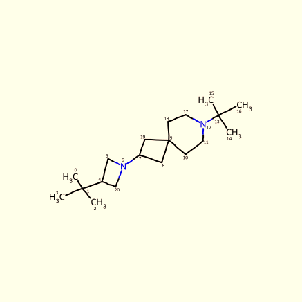 CC(C)(C)C1CN(C2CC3(CCN(C(C)(C)C)CC3)C2)C1